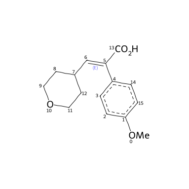 COc1ccc(/C(=C\C2CCOCC2)C(=O)O)cc1